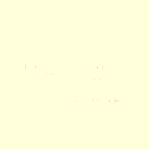 COC(=O)C1(c2c(C)cccc2OC)CC1